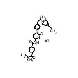 CC(Cc1ccc(-n2ccc(NC(=O)N3CCN(C(=O)[C@H](C)N)CC3)nc2=O)cc1)N1CC2C(CN)C2C1.Cl